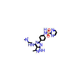 Cc1n[nH]c2nc(-c3ccc(NS(=O)(=O)c4ncccn4)cc3)nc(NCCN(C)C)c12